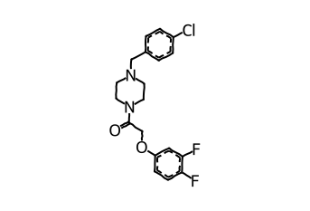 O=C(COc1ccc(F)c(F)c1)N1CCN(Cc2ccc(Cl)cc2)CC1